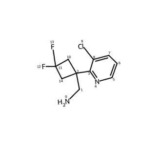 NCC1(c2ncccc2Cl)CC(F)(F)C1